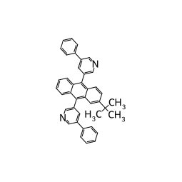 CC(C)(C)c1ccc2c(-c3cncc(-c4ccccc4)c3)c3ccccc3c(-c3cncc(-c4ccccc4)c3)c2c1